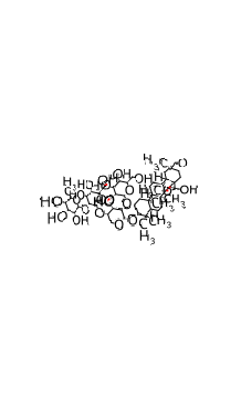 C[C@@H]1O[C@@H](O[C@H]2[C@H](O[C@H]3CO[C@@H](O[C@H]4CC[C@]5(C)[C@H]6CC[C@]78OC[C@@]9(CC[C@](C)(C=O)C[C@H]97)[C@H](O)C[C@@]8(C)[C@]6(C)CC[C@H]5C4(C)C)[C@H](O[C@@H]4O[C@H](CO)[C@@H](O)[C@H](O)[C@H]4O)[C@H]3O)O[C@H](CO)[C@@H](O)[C@@H]2O)[C@H](O)[C@H](O)[C@H]1O